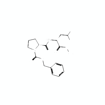 COC(=O)[C@H](CC(C)C)NC(=O)[C@@H]1CCCN1C(=O)OCc1ccccc1